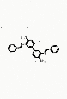 Nc1ccc(-c2ccc(N)c(N=Cc3ccccc3)c2)cc1N=Cc1ccccc1